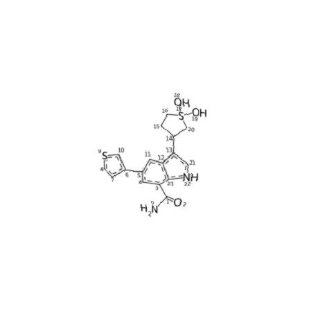 NC(=O)c1cc(-c2ccsc2)cc2c(C3CCS(O)(O)C3)c[nH]c12